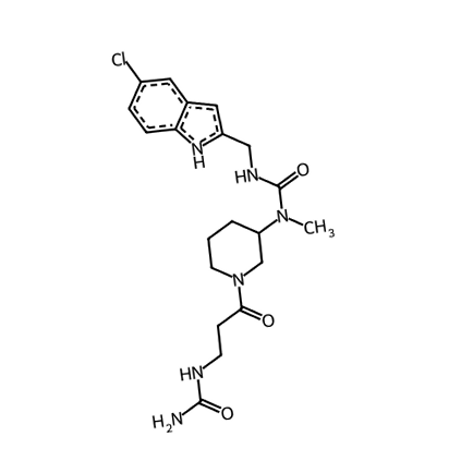 CN(C(=O)NCc1cc2cc(Cl)ccc2[nH]1)C1CCCN(C(=O)CCNC(N)=O)C1